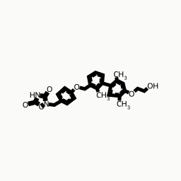 Cc1cc(-c2cccc(COc3ccc(Cn4oc(=O)[nH]c4=O)cc3)c2C)c(C)cc1OCCO